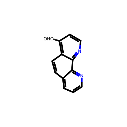 O=Cc1ccnc2c1ccc1cccnc12